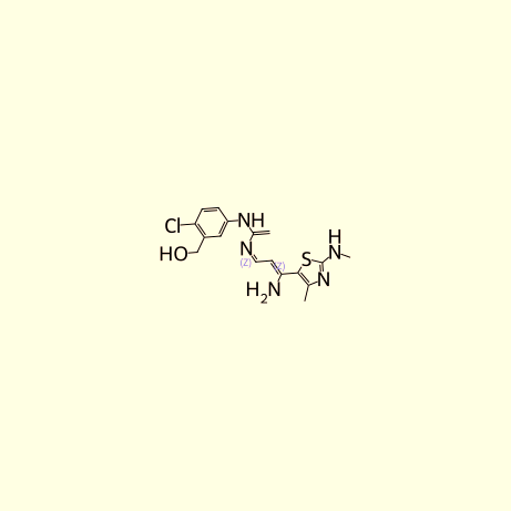 C=C(/N=C\C=C(/N)c1sc(NC)nc1C)Nc1ccc(Cl)c(CO)c1